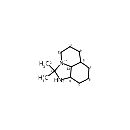 CC1(C)NC2CCCC3CCCN1C32